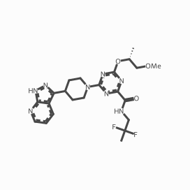 COC[C@@H](C)Oc1nc(C(=O)NCC(C)(F)F)nc(N2CCC(c3n[nH]c4ncccc34)CC2)n1